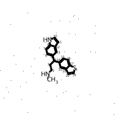 CNCCC(c1ccc2[nH]ccc2c1)c1ccc2sccc2c1